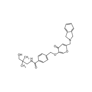 CC(C)(CO)CNC(=O)c1ccc(COc2coc(CN3Cc4ccccc4C3)cc2=O)cc1